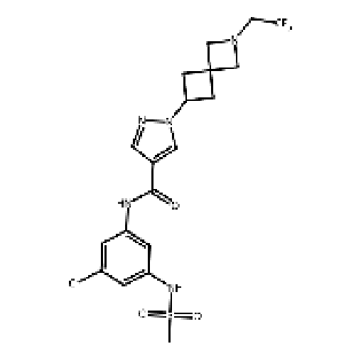 CS(=O)(=O)Nc1cc(Cl)cc(NC(=O)c2cnn(C3CC4(C3)CN(CC(F)(F)F)C4)c2)c1